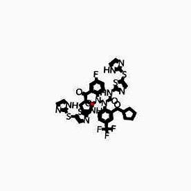 O=C(c1cc(F)ccc1N(C(=O)Nc1ncc(Sc2ncc[nH]2)s1)N(C(=O)Nc1ncc(Sc2ncc[nH]2)s1)c1ccc(C(F)(F)F)cc1C(=O)C1CCCC1)C1CCCC1